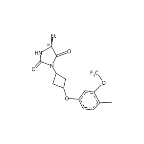 CC[C@@H]1NC(=O)N(C2CC(Oc3ccc(C)c(OC(F)(F)F)c3)C2)C1=O